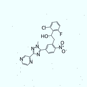 Cn1nc(-c2cnccn2)nc1-c1ccc([N+](=O)[O-])c(CC(O)c2c(F)cccc2Cl)c1